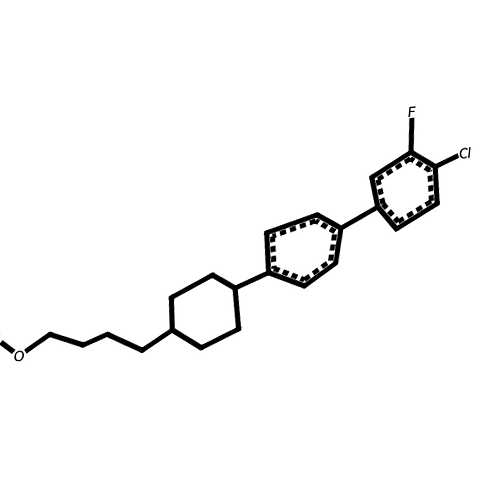 COCCCCC1CCC(c2ccc(-c3ccc(Cl)c(F)c3)cc2)CC1